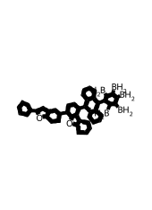 Bc1c(B)c(B)c(-c2c3ccccc3c(-c3ccc(-c4ccc5oc(-c6ccccc6)cc5c4)c4oc5ccccc5c34)c3ccccc23)c(B)c1B